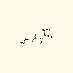 CNC(=O)C(C)NCCS